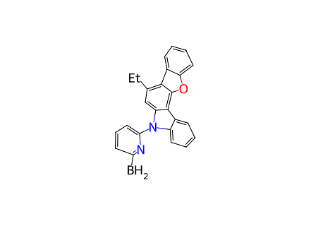 Bc1cccc(-n2c3ccccc3c3c4oc5ccccc5c4c(CC)cc32)n1